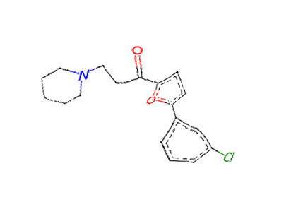 O=C(CCN1CCCCC1)c1ccc(-c2cccc(Cl)c2)o1